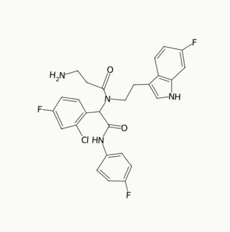 NCCC(=O)N(CCc1c[nH]c2cc(F)ccc12)C(C(=O)Nc1ccc(F)cc1)c1ccc(F)cc1Cl